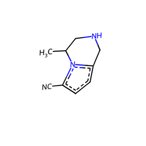 CC1CNCc2ccc(C#N)n21